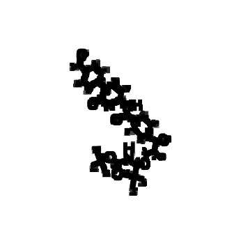 CC(COC(NC(=O)OC(C)(C)C)C(C)(C)C)C(=O)N1CCN(C(=O)Nc2ccn(-c3ccc(C=O)cc3)c(=O)n2)CC1